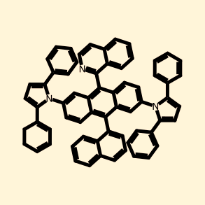 C1=CCCC(c2ccc(-c3ccccc3)n2-c2ccc3c(-c4cccc5ccccc45)c4cc(-n5c(-c6ccccc6)ccc5-c5ccccc5)ccc4c(-c4nccc5ccccc45)c3c2)=C1